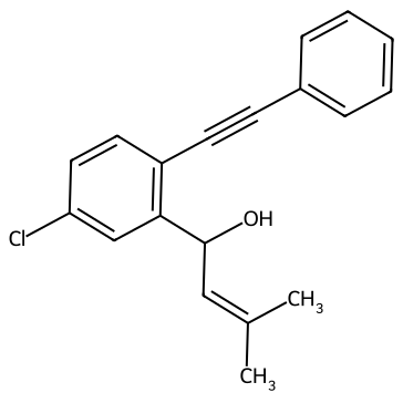 CC(C)=CC(O)c1cc(Cl)ccc1C#Cc1ccccc1